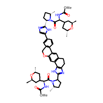 COC(=O)N[C@H](C(=O)N1C(c2nc3c([nH]2)-c2cc4c(cc2CC3)-c2ccc(-c3cnc([C@@H]5CC[C@H](C)N5C(=O)[C@@H](NC(=O)OC)C5C[C@@H](C)O[C@H](C)C5)[nH]3)cc2CO4)CC[C@@H]1C)C1C[C@@H](C)O[C@H](C)C1